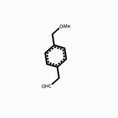 COCc1ccc(CC=O)cc1